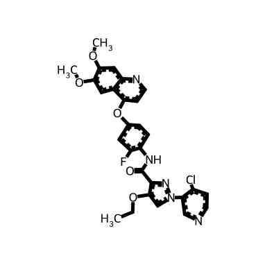 CCOc1cn(-c2cnccc2Cl)nc1C(=O)Nc1ccc(Oc2ccnc3cc(OC)c(OC)cc23)cc1F